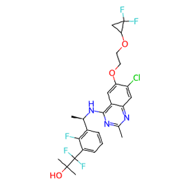 Cc1nc(N[C@H](C)c2cccc(C(F)(F)C(C)(C)O)c2F)c2cc(OCCOC3CC3(F)F)c(Cl)cc2n1